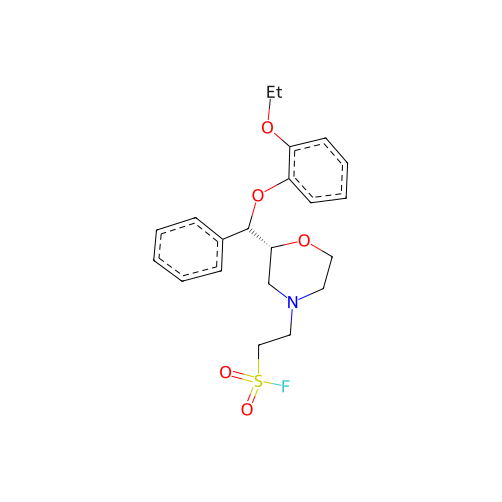 CCOc1ccccc1OC(c1ccccc1)[C@H]1CN(CCS(=O)(=O)F)CCO1